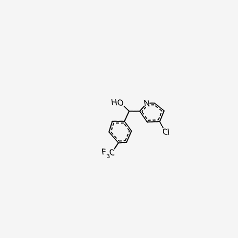 OC(c1ccc(C(F)(F)F)cc1)c1cc(Cl)ccn1